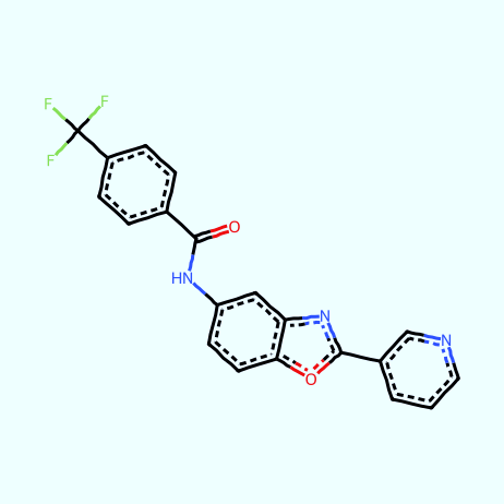 O=C(Nc1ccc2oc(-c3cccnc3)nc2c1)c1ccc(C(F)(F)F)cc1